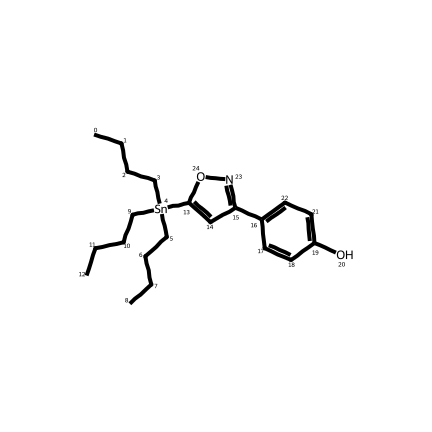 CCC[CH2][Sn]([CH2]CCC)([CH2]CCC)[c]1cc(-c2ccc(O)cc2)no1